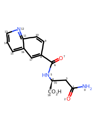 NC(=O)C[C@H](NC(=O)c1ccc2ncccc2c1)C(=O)O